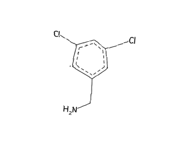 NCc1[c]c(Cl)cc(Cl)c1